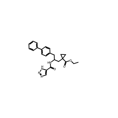 CCOC(=O)C1(CC(Cc2ccc(-c3ccccc3)cc2)NC(=O)c2cnn[nH]2)CC1